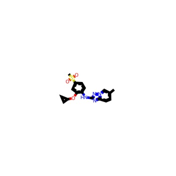 Cc1ccc2nc(Nc3ccc(S(C)(=O)=O)cc3OC3CC3)nn2c1